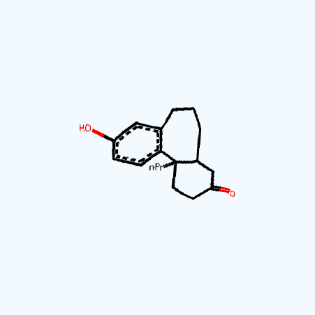 CCCC12CCC(=O)CC1CCCc1cc(O)ccc12